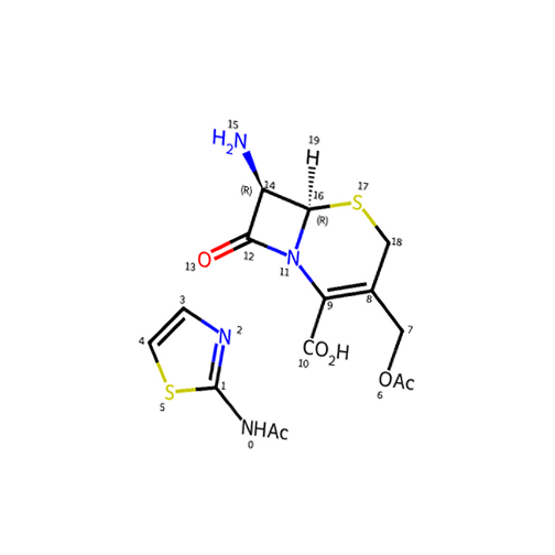 CC(=O)Nc1nccs1.CC(=O)OCC1=C(C(=O)O)N2C(=O)[C@@H](N)[C@H]2SC1